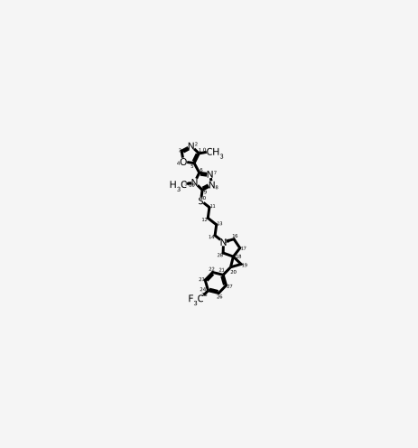 Cc1ncoc1-c1nnc(SCCCCN2CCC3(CC3c3ccc(C(F)(F)F)cc3)C2)n1C